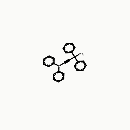 PC(C#CP(c1ccccc1)c1ccccc1)(c1ccccc1)c1ccccc1